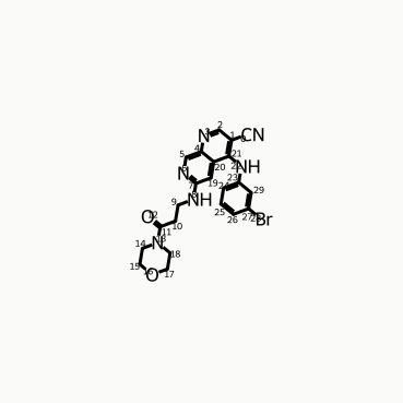 N#Cc1cnc2cnc(NCCC(=O)N3CCOCC3)cc2c1Nc1cccc(Br)c1